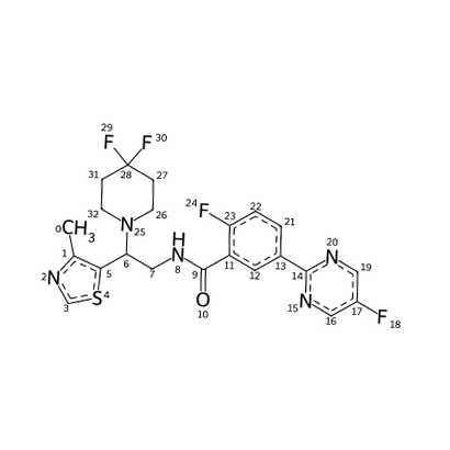 Cc1ncsc1C(CNC(=O)c1cc(-c2ncc(F)cn2)ccc1F)N1CCC(F)(F)CC1